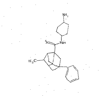 CC1C2CC3(c4ccccc4)CC1C(C(=S)NC1CCC(N)CC1)(C2)C3